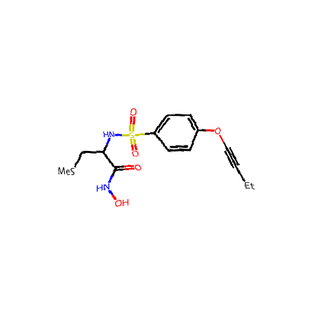 CCC#COc1ccc(S(=O)(=O)NC(CSC)C(=O)NO)cc1